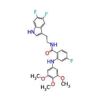 COc1cc(Nc2cc(F)ccc2C(=O)NCCc2c[nH]c3cc(F)c(F)cc23)cc(OC)c1OC